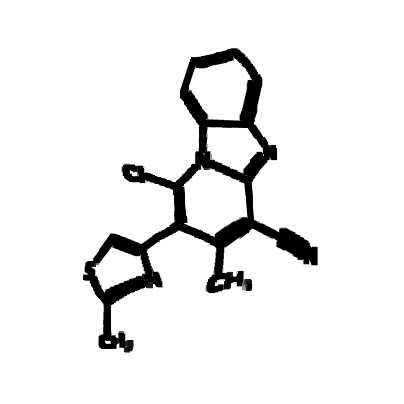 Cc1nc(-c2c(C)c(C#N)c3nc4ccccc4n3c2Cl)cs1